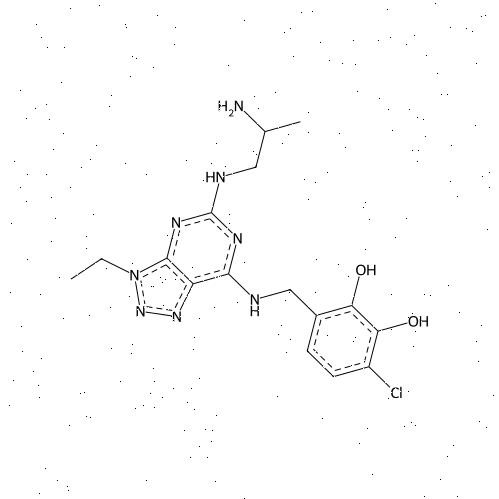 CCn1nnc2c(NCc3ccc(Cl)c(O)c3O)nc(NCC(C)N)nc21